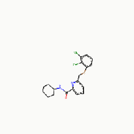 O=C(NC1CCCCC1)c1cccc(CSc2cccc(Cl)c2Cl)n1